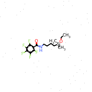 CCO[Si](C)(C)CCCCNC(=O)c1c(F)c(F)c(F)c(F)c1F